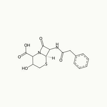 O=C(Cc1ccccc1)NC1C(=O)N2C(C(=O)O)C(O)CS[C@H]12